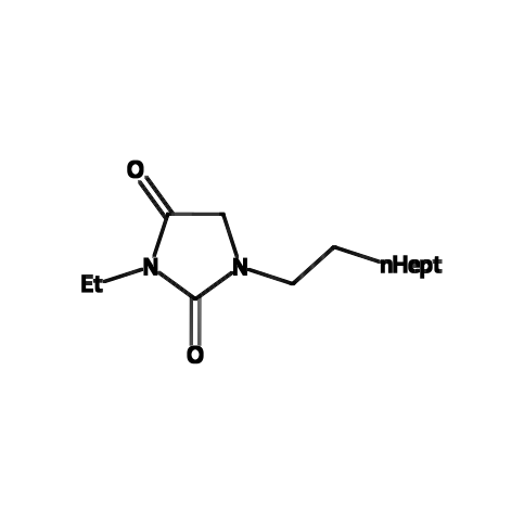 CCCCCCCCCN1CC(=O)N(CC)C1=O